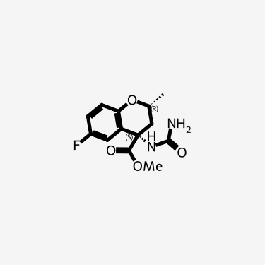 COC(=O)[C@]1(NC(N)=O)C[C@@H](C)Oc2ccc(F)cc21